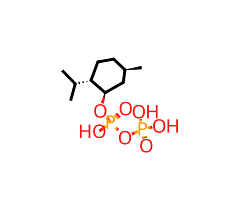 CC(C)[C@@H]1CC[C@@H](C)C[C@H]1OP(=O)(O)OP(=O)(O)O